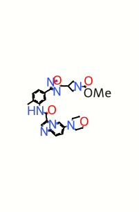 COC(=O)N1CC(c2nc(-c3ccc(C)c(NC(=O)c4cnc5ccc(N6CCOCC6)cn45)c3)no2)C1